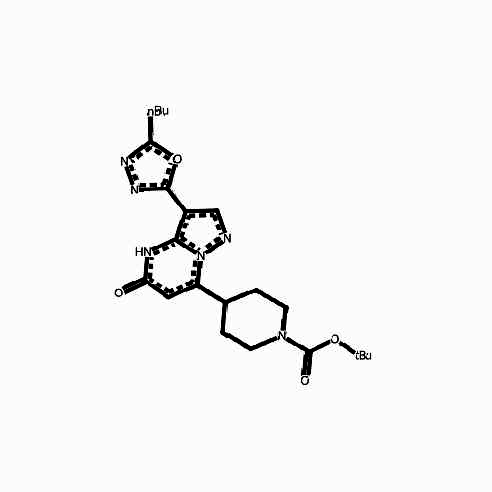 CCCCc1nnc(-c2cnn3c(C4CCN(C(=O)OC(C)(C)C)CC4)cc(=O)[nH]c23)o1